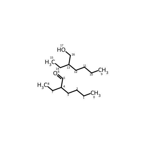 CCCCC(C=O)CC.CCCCC(CC)CO